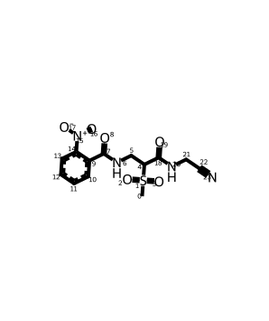 CS(=O)(=O)C(CNC(=O)c1ccccc1[N+](=O)[O-])C(=O)NCC#N